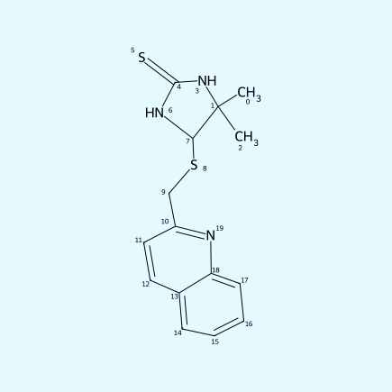 CC1(C)NC(=S)NC1SCc1ccc2ccccc2n1